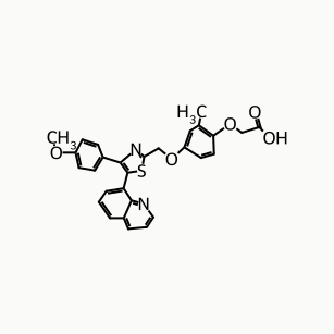 COc1ccc(-c2nc(COc3ccc(OCC(=O)O)c(C)c3)sc2-c2cccc3cccnc23)cc1